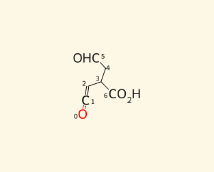 O=C=CC(CC=O)C(=O)O